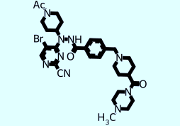 CC(=O)N1CCC(N(NC(=O)c2ccc(CN3CCC(C(=O)N4CCN(C)CC4)CC3)cc2)c2nc(C#N)ncc2Br)CC1